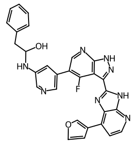 OC(Cc1ccccc1)Nc1cncc(-c2cnc3[nH]nc(-c4nc5c(-c6ccoc6)ccnc5[nH]4)c3c2F)c1